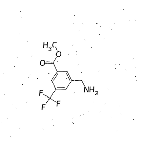 COC(=O)c1cc(CN)cc(C(F)(F)F)c1